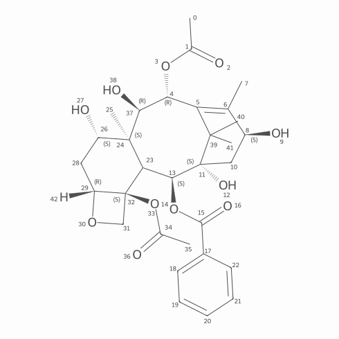 CC(=O)O[C@@H]1C2=C(C)[C@@H](O)C[C@@](O)([C@@H](OC(=O)c3ccccc3)C3[C@@](C)([C@@H](O)C[C@H]4OC[C@@]34OC(C)=O)[C@H]1O)C2(C)C